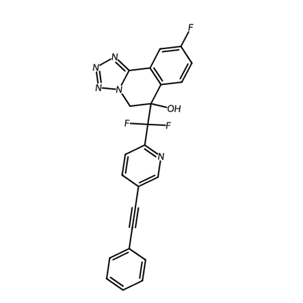 OC1(C(F)(F)c2ccc(C#Cc3ccccc3)cn2)Cn2nnnc2-c2cc(F)ccc21